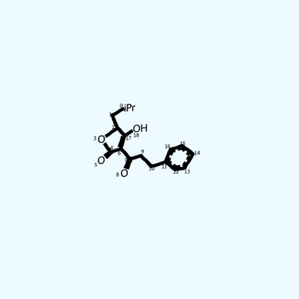 CC(C)CC1OC(=O)C(C(=O)CCc2ccccc2)=C1O